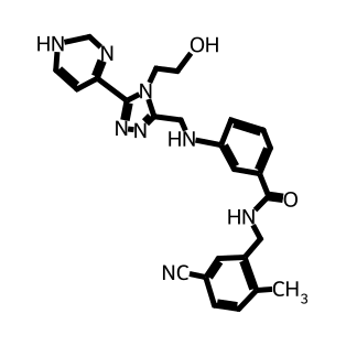 Cc1ccc(C#N)cc1CNC(=O)c1cccc(NCc2nnc(C3=NCNC=C3)n2CCO)c1